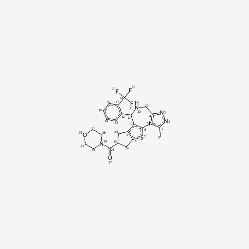 Cc1nnc2n1-c1sc3c(c1C(c1ccccc1C(F)(F)F)NC2)CC(C(=O)N1CCOCC1)C3